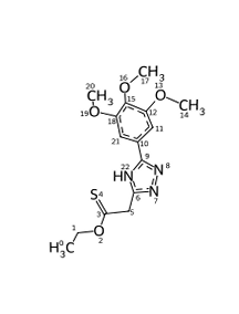 CCOC(=S)Cc1nnc(-c2cc(OC)c(OC)c(OC)c2)[nH]1